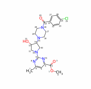 COC(=O)c1cc(C)nc(N2CC(O)C(N3CCN(C(=O)c4ccc(Cl)cc4)CC3)C2)n1